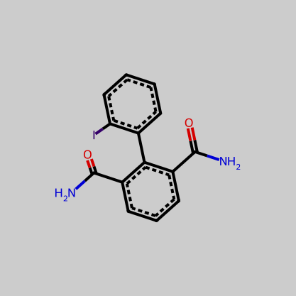 NC(=O)c1cccc(C(N)=O)c1-c1ccccc1I